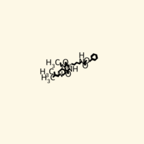 CCCN1C(=O)[C@H](CCCCNC(=O)OCc2ccccc2)NC(=O)C12CCN(C=C(C)CC)CC2